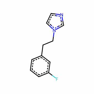 Fc1cccc(CCn2ccnc2)c1